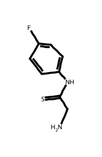 NCC(=S)Nc1ccc(F)cc1